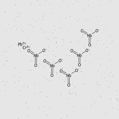 [Cr+3].[O]=[Nb](=[O])[O-].[O]=[Nb](=[O])[O-].[O]=[Nb](=[O])[O-].[O]=[Nb](=[O])[O-].[O]=[Nb](=[O])[O-].[Pb+2]